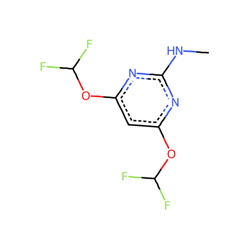 CNc1nc(OC(F)F)cc(OC(F)F)n1